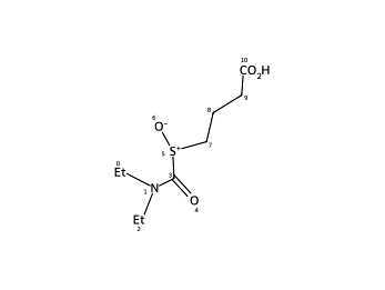 CCN(CC)C(=O)[S+]([O-])CCCC(=O)O